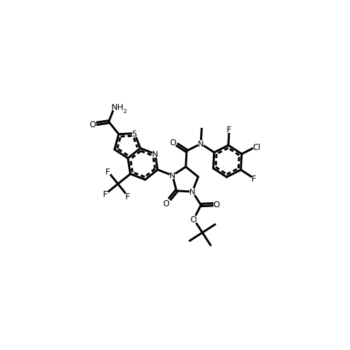 CN(C(=O)C1CN(C(=O)OC(C)(C)C)C(=O)N1c1cc(C(F)(F)F)c2cc(C(N)=O)sc2n1)c1ccc(F)c(Cl)c1F